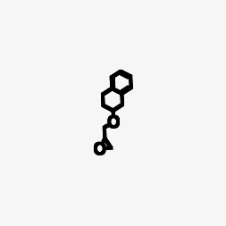 c1ccc2c(c1)CCC(OCC1CO1)C2